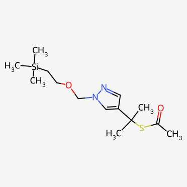 CC(=O)SC(C)(C)c1cnn(COCC[Si](C)(C)C)c1